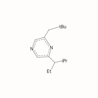 CCC(c1cncc(CC(C)(C)C)n1)C(C)C